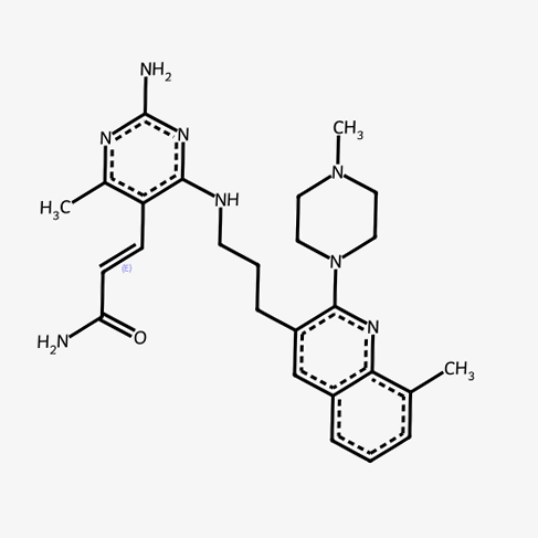 Cc1nc(N)nc(NCCCc2cc3cccc(C)c3nc2N2CCN(C)CC2)c1/C=C/C(N)=O